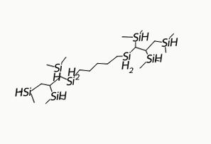 C[SiH](C)CC(C([SiH2]CCCCC[SiH2]C(C(C[SiH](C)C)[SiH](C)C)[SiH](C)C)[SiH](C)C)[SiH](C)C